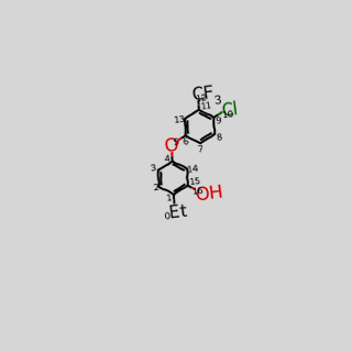 CCc1ccc(Oc2ccc(Cl)c(C(F)(F)F)c2)cc1O